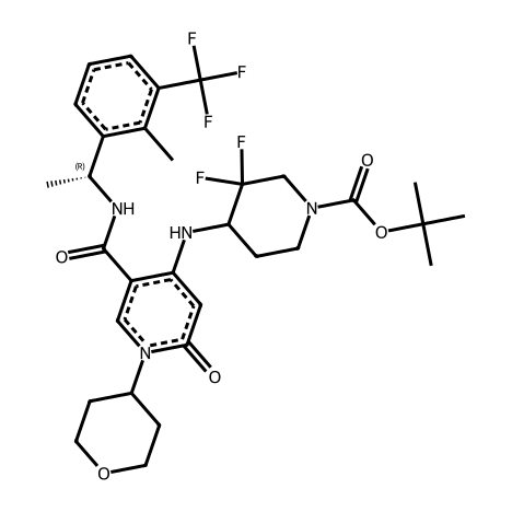 Cc1c([C@@H](C)NC(=O)c2cn(C3CCOCC3)c(=O)cc2NC2CCN(C(=O)OC(C)(C)C)CC2(F)F)cccc1C(F)(F)F